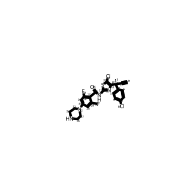 C#C[C@@](C)(c1ccc(Cl)cc1)c1nc(NC(=O)c2c(F)cc(N3CCNCC3)cc2F)sc1Cl